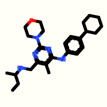 CCC(C)NCc1nc(N2CCOCC2)nc(Nc2ccc(C3CCCCC3)cc2)c1C